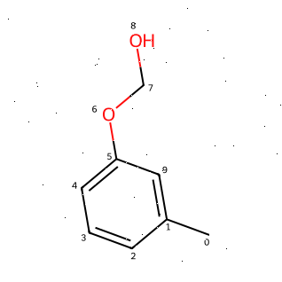 Cc1cccc(OCO)c1